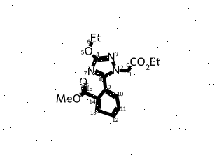 CCOC(=O)Cn1nc(OCC)nc1-c1ccccc1C(=O)OC